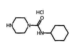 Cl.O=C(NC1CCCCC1)N1CCNCC1